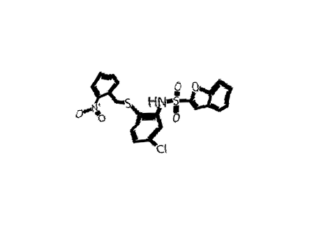 O=[N+]([O-])c1ccccc1CSc1ccc(Cl)cc1NS(=O)(=O)c1cc2ccccc2o1